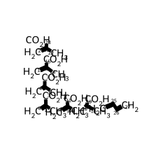 C=C(C)C(=O)O.C=C(C)C(=O)O.C=C(C)C(=O)O.C=C(C)C(=O)O.C=C(C)C(=O)O.C=C(C)C(=O)O.C=CC=C